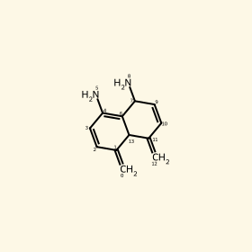 C=C1C=CC(N)=C2C(N)C=CC(=C)C12